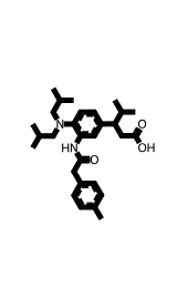 Cc1ccc(CC(=O)Nc2cc(C(CC(=O)O)C(C)C)ccc2N(CC(C)C)CC(C)C)cc1